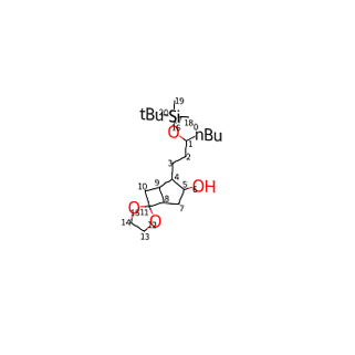 CCCCC(CCC1C(O)CC2C1CC21OCCO1)O[Si](C)(C)C(C)(C)C